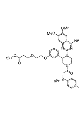 CCC[C@H](CC(=O)N1CCN(c2nc(N)c3cc(OC)c(OC)cc3n2)C(c2cccc(OCCOCCC(=O)OC(C)(C)C)c2)C1)c1ccc(F)cc1